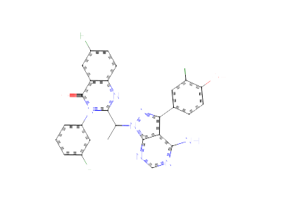 CC(c1nc2ccc(F)cc2c(=O)n1-c1cccc(F)c1)n1nc(-c2ccc(O)c(F)c2)c2c(N)ncnc21